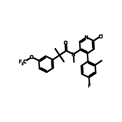 Cc1cc(F)ccc1-c1cc(Cl)ncc1N(C)C(=O)C(C)(C)c1cccc(OC(F)(F)F)c1